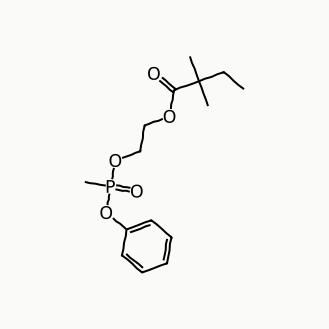 CCC(C)(C)C(=O)OCCOP(C)(=O)Oc1ccccc1